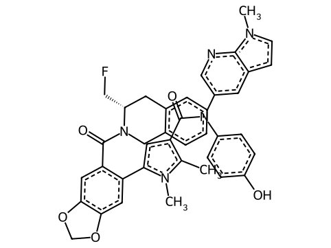 Cc1c(C(=O)N(c2ccc(O)cc2)c2cnc3c(ccn3C)c2)cc(-c2cc3c(cc2C(=O)N2Cc4ccccc4C[C@H]2CF)OCO3)n1C